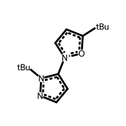 CC(C)(C)c1cc[n+](-c2ccnn2C(C)(C)C)o1